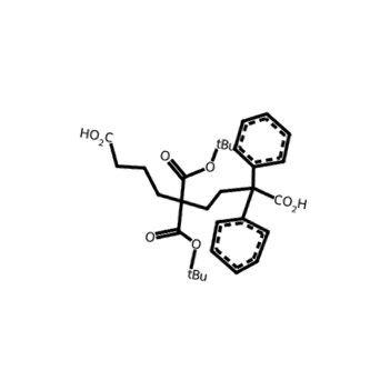 CC(C)(C)OC(=O)C(CCCC(=O)O)(CCC(C(=O)O)(c1ccccc1)c1ccccc1)C(=O)OC(C)(C)C